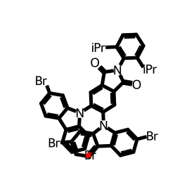 CC(C)c1cccc(C(C)C)c1N1C(=O)c2cc(-n3c4cc(Br)ccc4c4ccc(Br)cc43)c(-n3c4cc(Br)ccc4c4ccc(Br)cc43)cc2C1=O